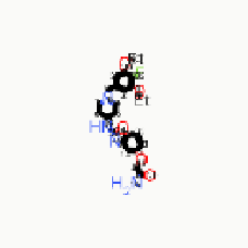 CCOc1cc(CN2CCC(Nc3nc4cc(OCC(N)=O)ccc4o3)CC2)cc(OCC)c1F